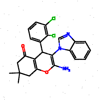 CC1(C)CC(=O)C2=C(C1)OC(N)=C(n1cnc3ccccc31)C2c1cccc(Cl)c1Cl